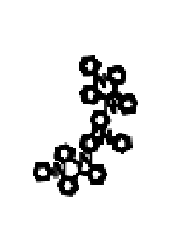 c1ccc(N2c3ccccc3-c3c(n(-c4ccc5c6ccc(-n7c8c(c9ccccc97)-c7ccccc7N(c7ccccc7)c7ccccc7-8)cc6n(-c6ccccc6)c5c4)c4ccccc34)-c3ccccc32)cc1